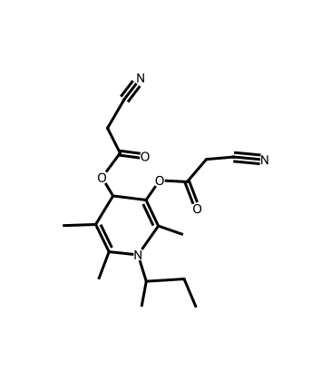 CCC(C)N1C(C)=C(C)C(OC(=O)CC#N)C(OC(=O)CC#N)=C1C